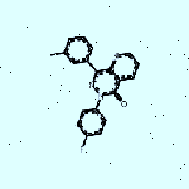 Cc1cccc(-c2nn(-c3ccc(F)cc3)c(=O)c3cccnc23)c1